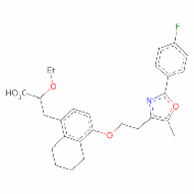 CCOC(Cc1ccc(OCCc2nc(-c3ccc(F)cc3)oc2C)c2c1CCCC2)C(=O)O